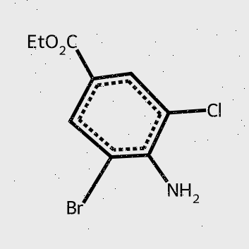 CCOC(=O)c1cc(Cl)c(N)c(Br)c1